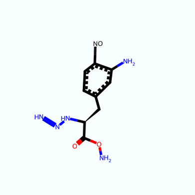 N=NN[C@@H](Cc1ccc(N=O)c(N)c1)C(=O)ON